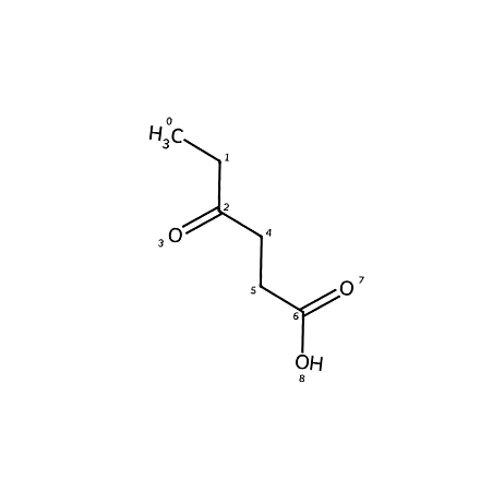 CCC(=O)CCC(=O)O